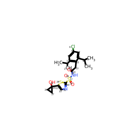 CC(C)c1cc(Cl)cc(C(C)C)c1CC(=O)NS(=O)(=O)c1ncc(C2(O)CC2)s1